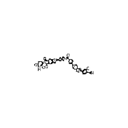 N#Cc1ccc(N2CCC3(CCN(c4ccc(C(=O)N5CC6(CC(N7Cc8cc9c(cc8C7)C(=O)N(C7CCC(=O)NC7=O)C9=O)C6)C5)cc4)CC3)C2)cc1Cl